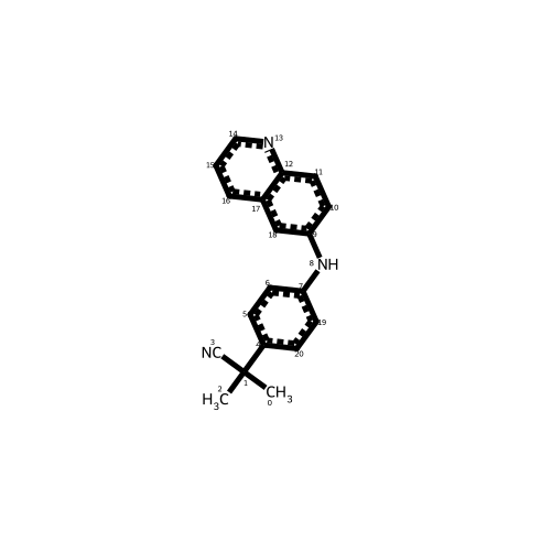 CC(C)(C#N)c1ccc(Nc2ccc3ncccc3c2)cc1